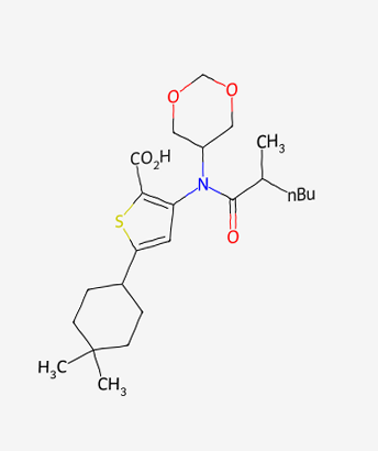 CCCCC(C)C(=O)N(c1cc(C2CCC(C)(C)CC2)sc1C(=O)O)C1COCOC1